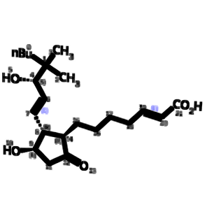 CCCCC(C)(C)[C@@H](O)/C=C/[C@H]1[C@H](O)CC(=O)[C@@H]1CCCC/C=C/C(=O)O